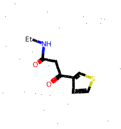 CCNC(=O)CC(=O)c1ccsc1